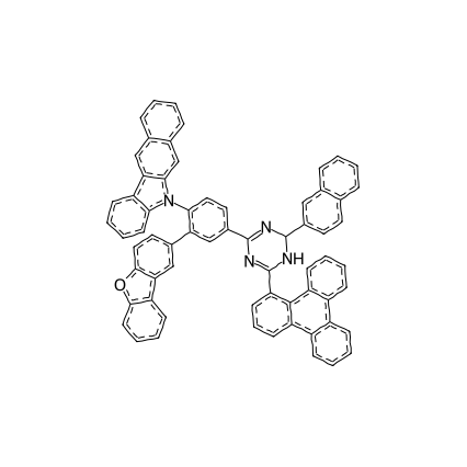 c1ccc2cc(C3N=C(c4ccc(-n5c6ccccc6c6cc7ccccc7cc65)c(-c5ccc6oc7ccccc7c6c5)c4)N=C(c4cccc5c6ccccc6c6ccccc6c45)N3)ccc2c1